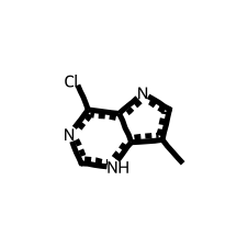 Cc1cnc2c(Cl)nc[nH]c1-2